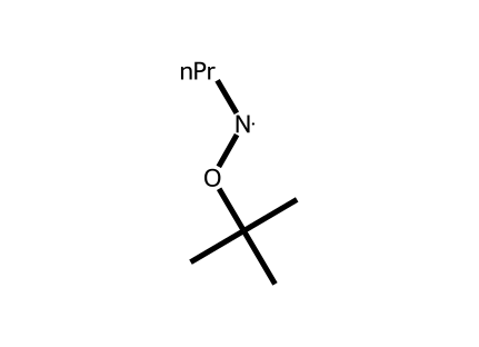 CCC[N]OC(C)(C)C